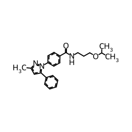 Cc1cc(-c2ccccc2)n(-c2ccc(C(=O)NCCCOC(C)C)cc2)n1